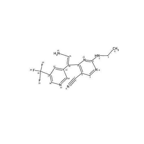 CCNc1ncc(C#N)c(/C(=C/N)c2cncc(C(F)(F)F)c2)n1